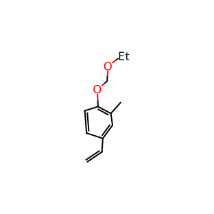 C=Cc1ccc(OCOCC)c(C)c1